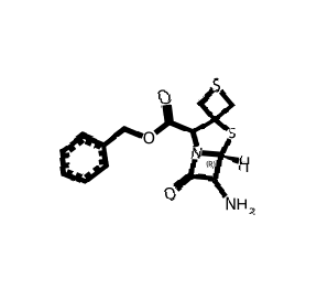 NC1C(=O)N2C(C(=O)OCc3ccccc3)C3(CSC3)S[C@H]12